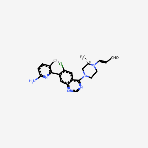 Nc1ccc(C(F)(F)F)c(-c2cc3ncnc(N4CCN(C=CC=O)[C@@H](C(F)(F)F)C4)c3cc2Cl)n1